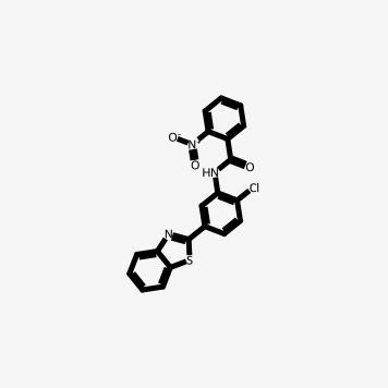 O=C(Nc1cc(-c2nc3ccccc3s2)ccc1Cl)c1ccccc1[N+](=O)[O-]